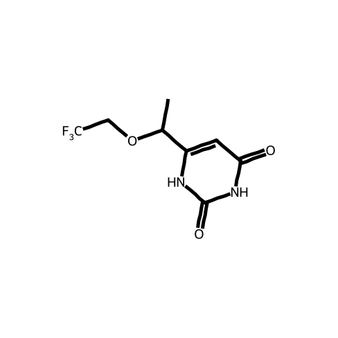 CC(OCC(F)(F)F)c1cc(=O)[nH]c(=O)[nH]1